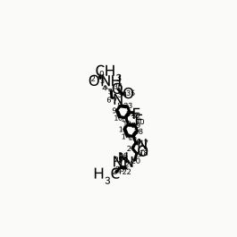 CC(=O)NC[C@H]1CN(c2ccc(-c3ccc(C4=NOC(Cn5cc(C)nn5)C4)cc3F)c(F)c2)C(=O)O1